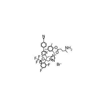 Cc1cc(C)c(OC(=O)CCC(C)N)c(C[n+]2cnn(CC(OC(=O)C(F)(F)F)(c3ccc(F)cc3F)C(C)c3nc(-c4ccc(C#N)cc4)cs3)c2)c1.[Br-]